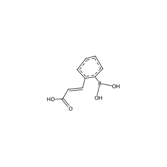 O=C(O)C=Cc1ccccc1B(O)O